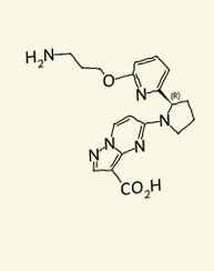 NCCCOc1cccc([C@H]2CCCN2c2ccn3ncc(C(=O)O)c3n2)n1